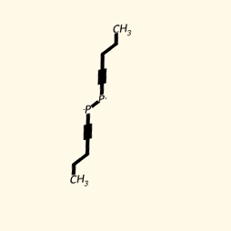 CCCC#C[P][P]C#CCCC